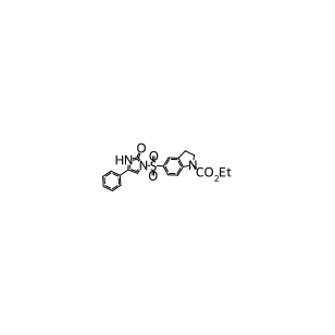 CCOC(=O)N1CCc2cc(S(=O)(=O)n3cc(-c4ccccc4)[nH]c3=O)ccc21